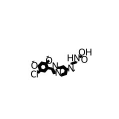 COc1cc(OC)c(-c2cn3ccc(N(C)CCNC(=O)O)cc3n2)cc1Cl